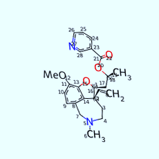 C=C[C@@]12CCN(C)Cc3ccc(OC)c(c31)O[C@H]2C[C@H](C)OC(=O)c1cccnc1